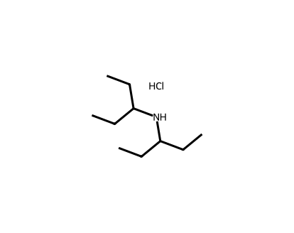 CCC(CC)NC(CC)CC.Cl